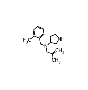 C=C(C)CN(Cc1ccccc1C(F)(F)F)[C@H]1CCNC1